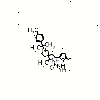 CCCNC(=O)N[C@@H](C)C1(CCc2ccc(F)s2)CCN(C(C)(C)c2ccc(C)nc2)C1